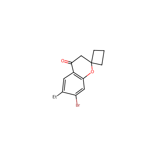 CCc1cc2c(cc1Br)OC1(CCC1)CC2=O